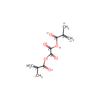 C=C(C)C(=O)OC(=O)C(=O)OC(=O)C(=C)C